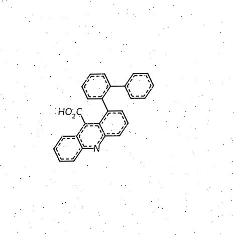 O=C(O)c1c2ccccc2nc2cccc(-c3ccccc3-c3ccccc3)c12